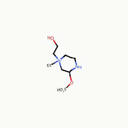 CC[N+]1(CCO)CCNC(OS(=O)(=O)O)C1